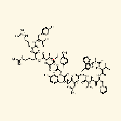 CC[C@H](C)[C@H](NC(=O)[C@H](Cc1ccc(O)cc1)NC(=O)[C@H](Cc1ccc(O)cc1)NC(=O)[C@H](CC(N)=O)NC(=O)[C@H](Cc1c[nH]c2ccccc12)NC(=O)[C@@H](NC(=O)[C@H](Cc1ccccc1)NC(=O)[C@@H](NC(=O)[C@H](C)N)C(C)C)C(C)C)C(=O)N[C@H](C(=O)N[C@@H](CCCNC(=N)N)C(=O)N[C@@H](CCCNC(=N)N)C(=O)N[C@@H](Cc1ccc(O)cc1)C(=O)O)[C@@H](C)CC